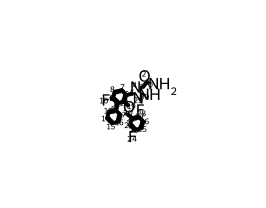 NC(=O)c1nc(-c2ccc(F)c(-c3ccccc3)c2OCc2cc(F)ccc2F)n[nH]1